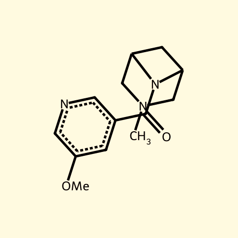 COc1cncc(C(=O)N2C3CC2CN(C)C3)c1